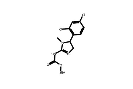 CN1C(NC(=O)OC(C)(C)C)=NCC1c1ccc(Cl)cc1Cl